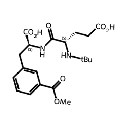 COC(=O)c1cccc(C[C@H](NC(=O)[C@H](CCC(=O)O)NC(C)(C)C)C(=O)O)c1